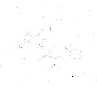 Nc1nc(/C(=N/O)C(=O)N[C@@H]2C(=O)N3C(C(=O)O)=C(Sc4cnccc4Cl)CCC23)ns1